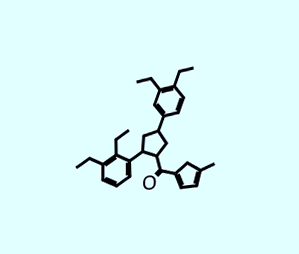 CCc1ccc(C2CC(C(=O)C3=CC=C(C)C3)C(c3cccc(CC)c3CC)C2)cc1CC